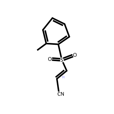 Cc1ccccc1S(=O)(=O)/C=C/C#N